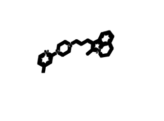 Cc1ccnc(N2CCN(CCCc3c(C)n4c5c(cccc35)CCC4)CC2)c1